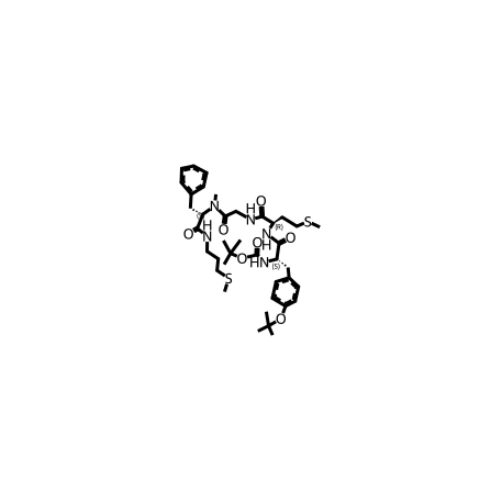 CSCCCNC(=O)[C@H](Cc1ccccc1)N(C)C(=O)CNC(=O)[C@@H](CCSC)NC(=O)[C@H](Cc1ccc(OC(C)(C)C)cc1)NC(=O)OC(C)(C)C